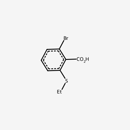 CCSc1cccc(Br)c1C(=O)O